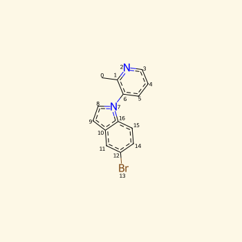 Cc1ncccc1-n1ccc2cc(Br)ccc21